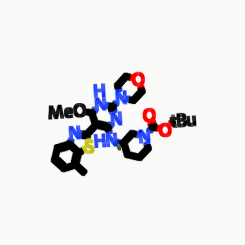 COC1NC(N2CCOCC2)=NC(N[C@@H]2CCCN(C(=O)OC(C)(C)C)C2)=C1c1nc2cccc(C)c2s1